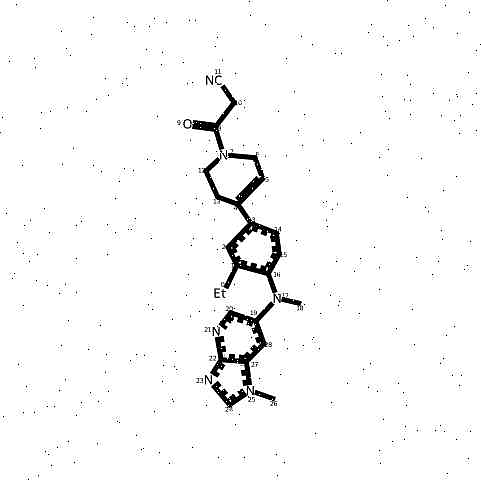 CCc1cc(C2=CCN(C(=O)CC#N)CC2)ccc1N(C)c1cnc2ncn(C)c2c1